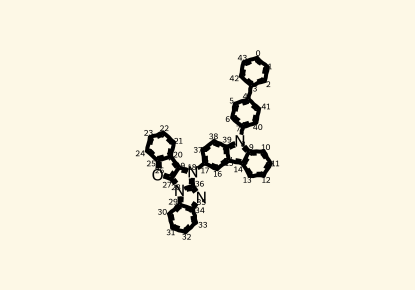 c1ccc(-c2ccc(-n3c4ccccc4c4cc(-n5c6c7ccccc7oc6n6c7ccccc7nc56)ccc43)cc2)cc1